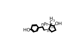 CCC[C@@]1(C)[C@H](CCc2ccc(O)cc2)CC[C@@H]1O